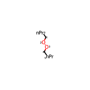 [CH2]CCCOOCCCC